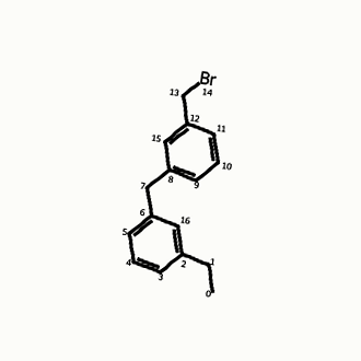 CCc1cccc(Cc2cccc(CBr)c2)c1